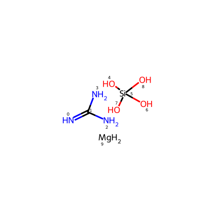 N=C(N)N.O[Si](O)(O)O.[MgH2]